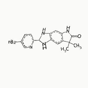 CCCCc1ccc(C2Nc3cc4c(cc3N2)C(C)(C)C(=O)N4)nc1